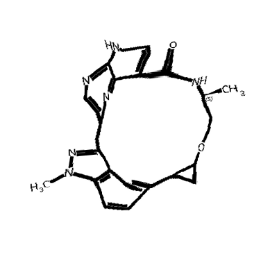 C[C@H]1COC2CC2c2ccc3c(c2)c(nn3C)-c2cnc3[nH]cc(c3n2)C(=O)N1